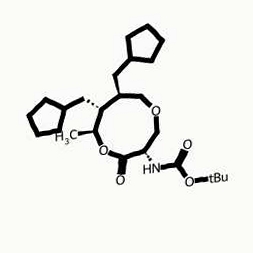 C[C@@H]1OC(=O)[C@@H](NC(=O)OC(C)(C)C)COC[C@H](CC2CCCC2)[C@H]1CC1CCCC1